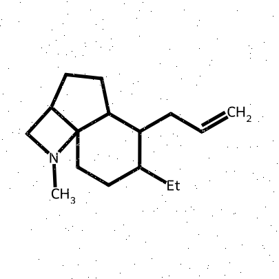 C=CCC1C(CC)CCC23C(CCC12)CN3C